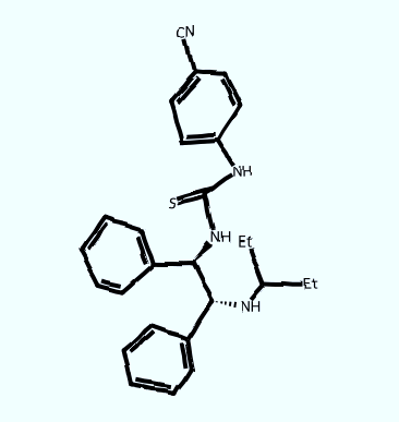 CCC(CC)N[C@H](c1ccccc1)[C@H](NC(=S)Nc1ccc(C#N)cc1)c1ccccc1